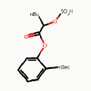 CCCCCCCCCCc1ccccc1OC(=O)C(CCCC)OS(=O)(=O)O